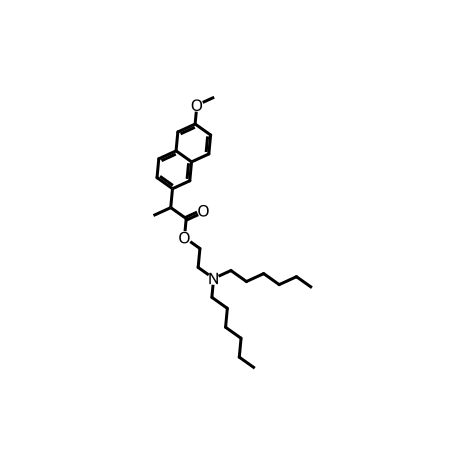 CCCCCCN(CCCCCC)CCOC(=O)C(C)c1ccc2cc(OC)ccc2c1